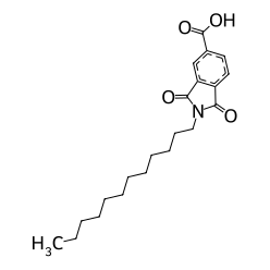 CCCCCCCCCCCCN1C(=O)c2ccc(C(=O)O)cc2C1=O